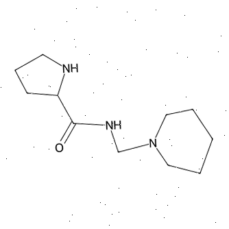 O=C(NCN1CCCCC1)C1CCCN1